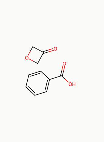 O=C(O)c1ccccc1.O=C1COC1